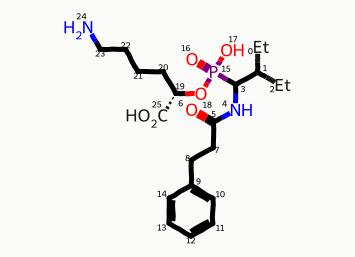 CCC(CC)C(NC(=O)CCc1ccccc1)P(=O)(O)O[C@@H](CCCCN)C(=O)O